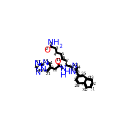 NC(=O)CCCCC[C@H](NC(=O)Cc1cnc2ncnn2c1)c1ncc(-c2ccc3ccccc3c2)[nH]1